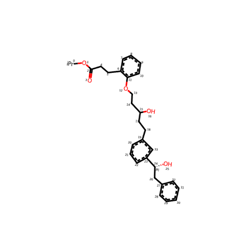 CC(C)OC(=O)CCc1ccccc1OCCC(O)CCc1cccc([C@H](O)Cc2ccccc2)c1